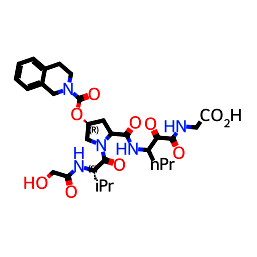 CCCC(NC(=O)C1C[C@@H](OC(=O)N2CCc3ccccc3C2)CN1C(=O)[C@@H](NC(=O)CO)C(C)C)C(=O)C(=O)NCC(=O)O